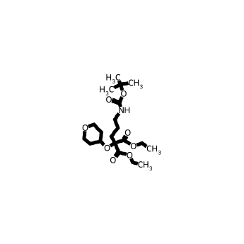 CCOC(=O)C(CCCNC(=O)OC(C)(C)C)(OC1CCOCC1)C(=O)OCC